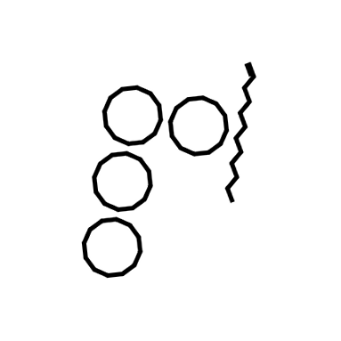 C1CCCCCCCCCCC1.C1CCCCCCCCCCC1.C1CCCCCCCCCCC1.C1CCCCCCCCCCC1.C=CCCCCCCCCCC